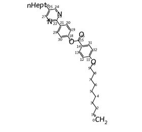 C=CCCCCCCCCOc1ccc(C(=O)Oc2ccc(-c3ncc(CCCCCCC)cn3)cc2)cc1